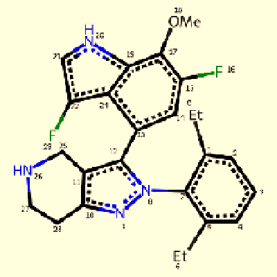 CCc1cccc(CC)c1-n1nc2c(c1-c1cc(F)c(OC)c3[nH]cc(F)c13)CNCC2